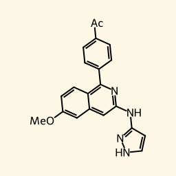 COc1ccc2c(-c3ccc(C(C)=O)cc3)nc(Nc3cc[nH]n3)cc2c1